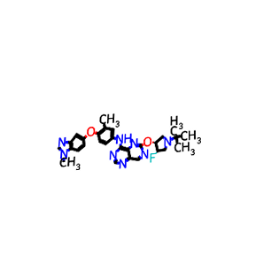 Cc1cc(Nc2ncnc3cnc(O[C@@H]4CN(C(C)(C)C)C[C@@H]4F)nc23)ccc1Oc1ccc2c(c1)ncn2C